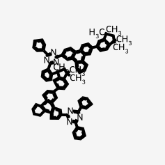 CC1(C)CC(C)(C)c2cc(-c3ccc4c5ccc(-c6nc(-c7ccccc7)nc(-c7ccccc7C7(C)CC(C)(C)c8ccc(-c9ccc%10c%11c(c%12ccc(-c%13nc(-c%14ccccc%14)nc(-c%14ccccc%14)n%13)cc%12c%10c9)CCC=C%11)cc87)n6)cc5c5ccccc5c4c3)ccc21